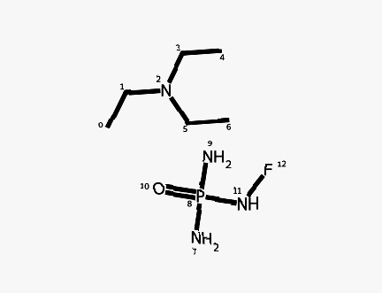 CCN(CC)CC.NP(N)(=O)NF